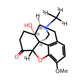 [2H]C([2H])([2H])N1CC[C@]23c4c5ccc(OC)c4OC2([2H])C(=O)CC[C@@]3(O)[C@H]1C5